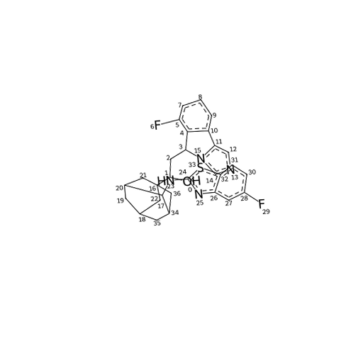 OC(CC1c2c(F)cccc2-c2cncn21)C12CC3CC(C1)C(Nc1nc4cc(F)ccc4s1)C(C3)C2